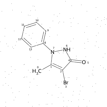 Cc1c(Br)c(=O)[nH]n1-c1ccccc1